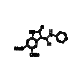 CC/C(Nc1ccccc1)=C1/C(=O)Nc2cc(OC)c(OC)cc21